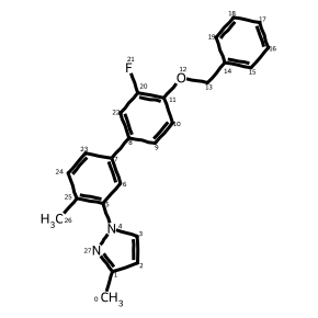 Cc1ccn(-c2cc(-c3ccc(OCc4ccccc4)c(F)c3)ccc2C)n1